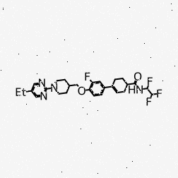 CCc1cnc(N2CCC(COc3ccc(C4=CCC(C(=O)NC(F)C(F)F)CC4)cc3F)CC2)nc1